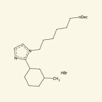 Br.CCCCCCCCCCCCCCCCn1ccnc1C1CCCC(C)C1